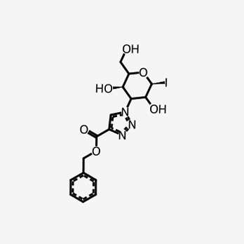 O=C(OCc1ccccc1)c1cn(C2C(O)[C@H](I)OC(CO)[C@@H]2O)nn1